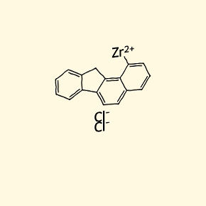 [Cl-].[Cl-].[Zr+2][c]1cccc2ccc3c(c12)Cc1ccccc1-3